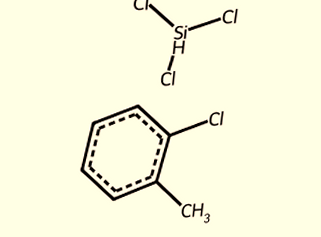 Cc1ccccc1Cl.Cl[SiH](Cl)Cl